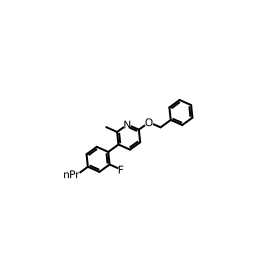 CCCc1ccc(-c2ccc(OCc3ccccc3)nc2C)c(F)c1